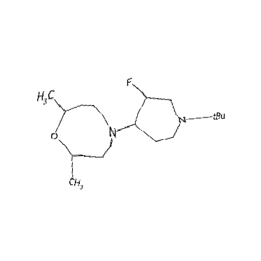 CC1CN(C2CCN(C(C)(C)C)CC2F)CC(C)O1